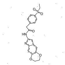 CCS(=O)(=O)c1ccc(CC(=O)Nc2cc3cc4c(sc-3n2)OCCO4)cc1